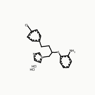 Cl.Cl.Nc1ccccc1SC(CCc1ccc(Cl)cc1)Cn1ccnc1